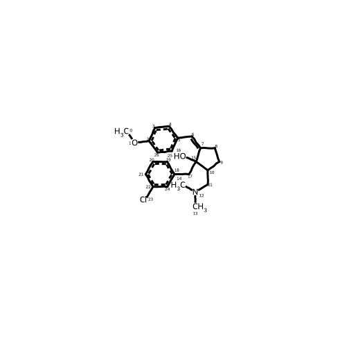 COc1ccc(C=C2CCC(CN(C)C)C2(O)Cc2cccc(Cl)c2)cc1